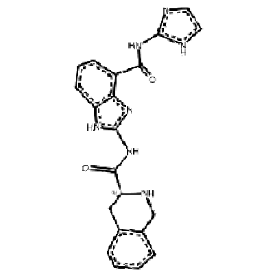 O=C(Nc1ncc[nH]1)c1cccc2[nH]c(NC(=O)[C@@H]3Cc4ccccc4CN3)nc12